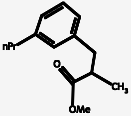 CCCc1cccc(CC(C)C(=O)OC)c1